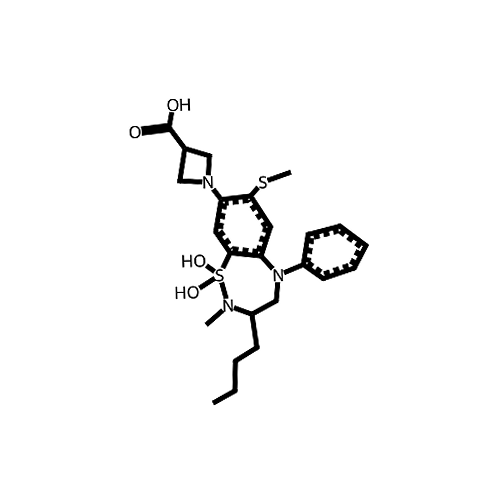 CCCCC1CN(c2ccccc2)c2cc(SC)c(N3CC(C(=O)O)C3)cc2S(O)(O)N1C